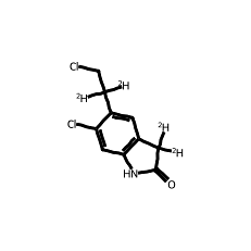 [2H]C([2H])(CCl)c1cc2c(cc1Cl)NC(=O)C2([2H])[2H]